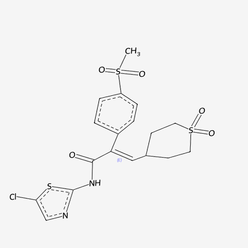 CS(=O)(=O)c1ccc(/C(=C\C2CCS(=O)(=O)CC2)C(=O)Nc2ncc(Cl)s2)cc1